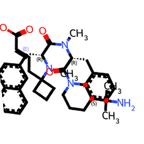 CN(C(=O)[C@@H](Cc1ccc2ccccc2c1)N(C)C1(C/C=C/C(=O)O)CCC1)[C@H](Cc1ccccc1)C(=O)N1CCC[C@H](C(C)(C)N)C1